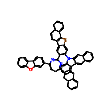 C1=C(c2ccc3c(c2)oc2ccccc23)N=C(c2cc3c(cc2-n2c4ccccc4c4cc5ccccc5cc42)sc2c4ccccc4ccc32)N=C(c2ccc3ccccc3c2)C1